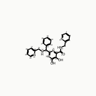 O=C(NCc1ccccn1)c1nc(C(NCc2ccccn2)c2ccccc2)nc(O)c1O